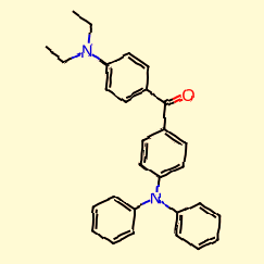 CCN(CC)c1ccc(C(=O)c2ccc(N(c3ccccc3)c3ccccc3)cc2)cc1